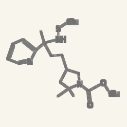 CC(C)(C)OC(=O)N1CC(CCC(C)(NSC(C)(C)C)c2ccccn2)CC1(C)C